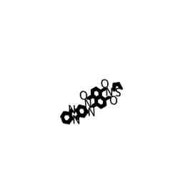 O=C1c2ccc3c(=O)n4c5cc6nc7ccccc7nc6cc5nc4c4ccc(c2c34)C(=O)N1c1cccs1